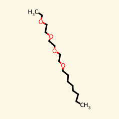 CCCCCCCCOCCOCCOCCOCC